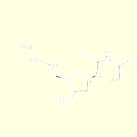 CC1C[C@H](n2ccc(=O)[nH]c2=O)O[C@@H]1CPPP=O